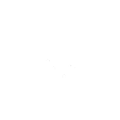 C=C(C)C(=O)OCC(=O)OC1(c2ccc3ccccc3c2)CCCC1